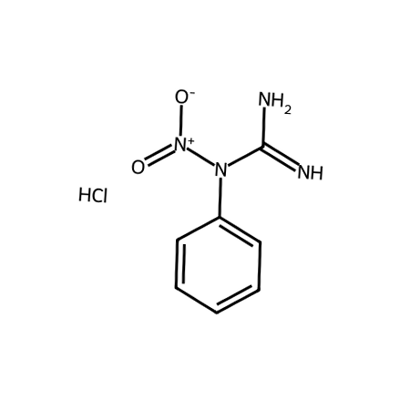 Cl.N=C(N)N(c1ccccc1)[N+](=O)[O-]